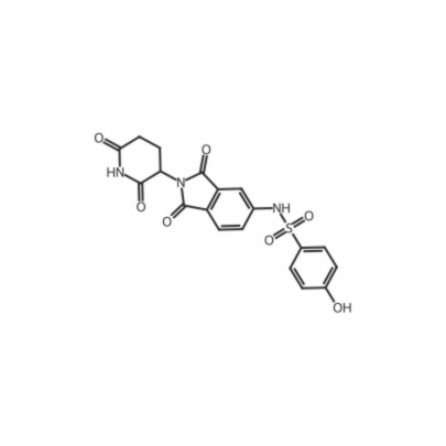 O=C1CCC(N2C(=O)c3ccc(NS(=O)(=O)c4ccc(O)cc4)cc3C2=O)C(=O)N1